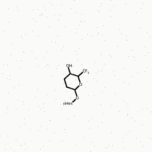 CCCCCCOC1CCC(O)C(C(F)(F)F)O1